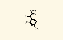 COC(=O)C(Cl)c1ccc(C)cc1C